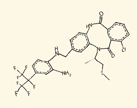 CSC[C@H](C)N1C(=O)c2c(Cl)cccc2C(=O)Nc2ccc(CNc3ccc(C(F)(C(F)(F)F)C(F)(F)F)cc3N)cc21